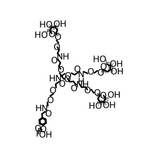 O=C(CCOCC(COCCC(=O)NCCOCCO[C@H]1C[C@@H](O)[C@@H](O)[C@@H](CO)O1)(COCCC(=O)NCCOCCO[C@H]1C[C@@H](O)[C@@H](O)[C@@H](CO)O1)NC(=O)CCOCCOCCNC(=O)Cc1ccc(OP(=O)(O)I)cc1)NCCOCCO[C@H]1C[C@@H](O)[C@@H](O)[C@@H](CO)O1